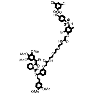 CC[C@H](C(=O)N1CCCC[C@H]1C(=O)O[C@H](CCc1ccc(OC)c(OC)c1)c1cccc(OCC(=O)NCCOCCOCCNC(=O)COc2cc(C)c(NS(=O)(=O)c3ccc(NS(=O)(=O)c4cc(Cl)cc(Cl)c4)cc3)cc2Br)c1)c1cc(OC)c(OC)c(OC)c1